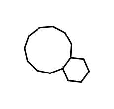 C1CCCC[C]2CCCCC2CCCC1